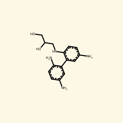 Nc1ccc(N)c(-c2cc(N)ccc2NCC(O)CO)c1